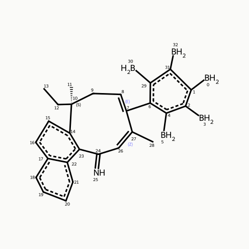 Bc1c(B)c(B)c(C2=C/C[C@](C)(CC)c3ccc4ccccc4c3C(=N)/C=C\2C)c(B)c1B